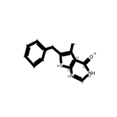 Cc1c(Cc2ccccc2)sc2nc[nH]c(=O)c12